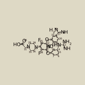 N=C(N)Nc1cccc(Oc2nc(Oc3cc(C(=N)N)ccc3O)c(F)c(N3CCN(CC(=O)O)CC3)c2F)c1